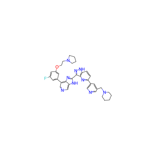 Fc1cc(OCCN2CCCC2)cc(-c2cncc3[nH]c(-c4n[nH]c5ccc(-c6cncc(CN7CCCCC7)c6)nc45)nc23)c1